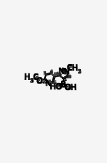 COc1ccc(-c2nn(C)cc2B(O)O)cn1